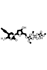 CC#Cc1cn(C2CC(O)C(COP(=O)(OC)OP(=O)(OC)OP(=O)(O)OC)O2)c(=O)nc1N